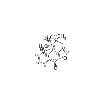 CC1(C)Cc2coc3c2[C@@](C)(c2ccccc2C3=O)[C@@]1(C)O